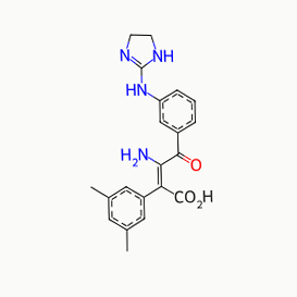 Cc1cc(C)cc(C(C(=O)O)=C(N)C(=O)c2cccc(NC3=NCCN3)c2)c1